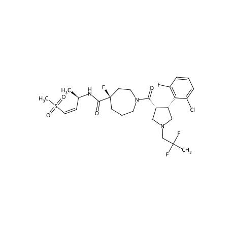 C[C@H](/C=C\S(C)(=O)=O)NC(=O)[C@@]1(F)CCCN(C(=O)[C@H]2CN(CC(C)(F)F)C[C@H]2c2c(F)cccc2Cl)CC1